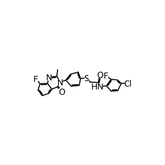 Cc1nc2c(F)cccc2c(=O)n1-c1ccc(SCC(=O)Nc2ccc(Cl)cc2F)cc1